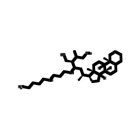 CC(=O)OCC(C)[C@H](CO)C(C[C@@H](C)[C@H]1CC[C@H]2[C@@H]3CCC4CCCC[C@]4(C)[C@H]3CC[C@]12C)NCCCNCCCCN